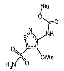 COc1c(NC(=O)OC(C)(C)C)nsc1S(N)(=O)=O